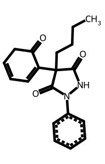 CCCCC1(C2=CC=CCC2=O)C(=O)NN(c2ccccc2)C1=O